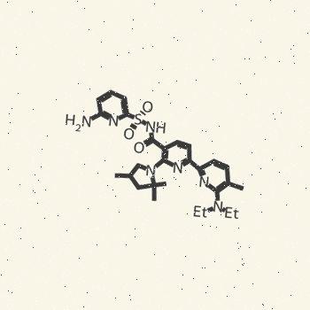 CCN(CC)c1nc(-c2ccc(C(=O)NS(=O)(=O)c3cccc(N)n3)c(N3CC(C)CC3(C)C)n2)ccc1C